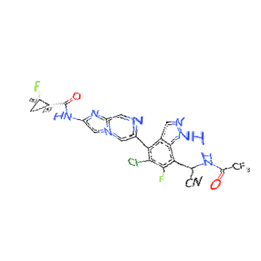 N#CC(NC(=O)C(F)(F)F)c1c(F)c(Cl)c(-c2cn3cc(NC(=O)[C@@H]4C[C@@H]4F)nc3cn2)c2cn[nH]c12